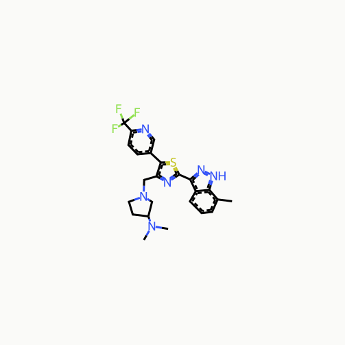 Cc1cccc2c(-c3nc(CN4CCC(N(C)C)C4)c(-c4ccc(C(F)(F)F)nc4)s3)n[nH]c12